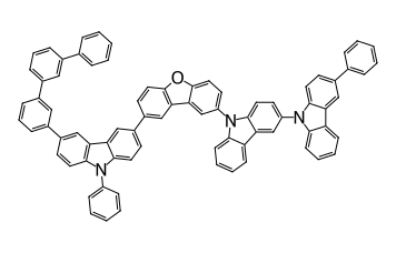 c1ccc(-c2cccc(-c3cccc(-c4ccc5c(c4)c4cc(-c6ccc7oc8ccc(-n9c%10ccccc%10c%10cc(-n%11c%12ccccc%12c%12cc(-c%13ccccc%13)ccc%12%11)ccc%109)cc8c7c6)ccc4n5-c4ccccc4)c3)c2)cc1